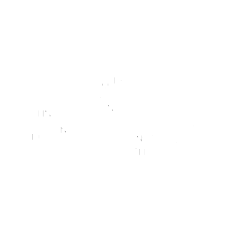 CCc1nc2cc(C(=O)N3CCC(N(C)CCc4ccccc4)CC3)ccc2[nH]1.Cl